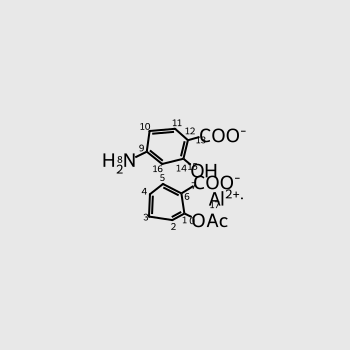 CC(=O)Oc1ccccc1C(=O)[O-].Nc1ccc(C(=O)[O-])c(O)c1.[Al+2]